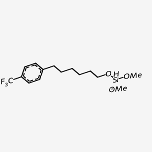 CO[SiH](OC)OCCCCCCc1ccc(C(F)(F)F)cc1